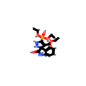 CCOC(=O)C1=C(P(=O)(OCC)OCC)N=NC12C(=O)Nc1ccccc12